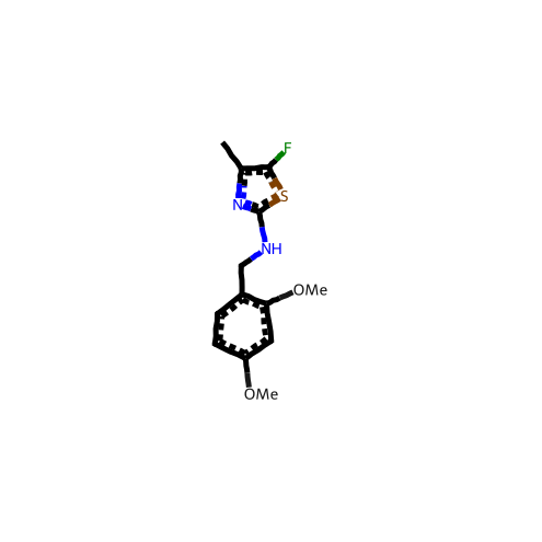 COc1ccc(CNc2nc(C)c(F)s2)c(OC)c1